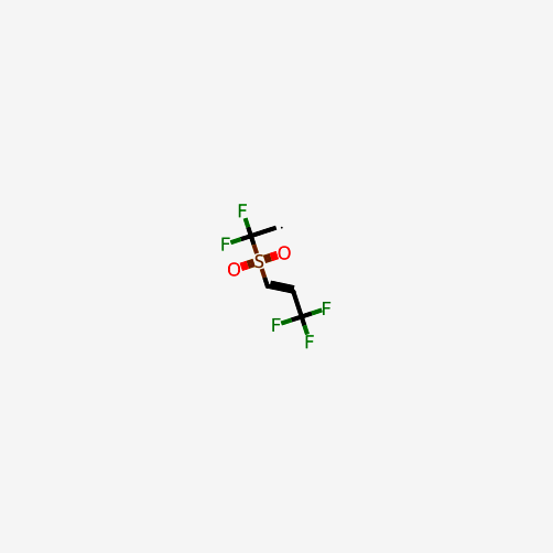 [CH2]C(F)(F)S(=O)(=O)C=CC(F)(F)F